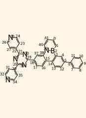 C1=CB2c3cc(-c4ccccc4)ccc3-c3ccc(-c4nc(-c5ccncc5)nc(-c5ccncc5)n4)cc3N2C=C1